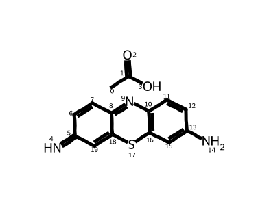 CC(=O)O.N=c1ccc2nc3ccc(N)cc3sc-2c1